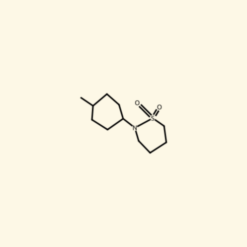 CC1CCC(N2CCCCS2(=O)=O)CC1